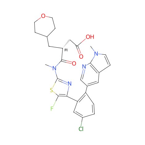 CN(C(=O)[C@@H](CC(=O)O)CC1CCOCC1)c1nc(-c2cc(Cl)ccc2-c2cnc3c(ccn3C)c2)c(F)s1